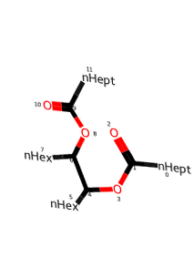 CCCCCCCC(=O)OC(CCCCCC)C(CCCCCC)OC(=O)CCCCCCC